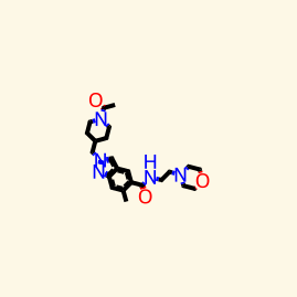 CC(=O)N1CCC(Cn2cc3cc(C(=O)NCCN4CCOCC4)c(C)cc3n2)CC1